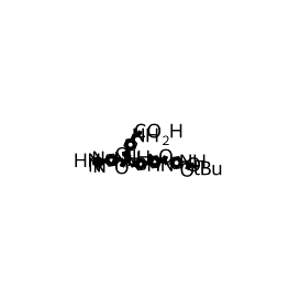 Cc1cc(C(=O)N[C@H]2CC[C@H](NC(=O)OC(C)(C)C)CC2)ccc1-c1ccc(C[C@H](NC(=O)C2CCC(CNC(=O)O)CC2)C(=O)Nc2ccc(-c3nn[nH]n3)cc2)cc1